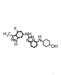 Cc1n[nH]c2cc(Nc3nc4cccc(NC5CCC(O)CC5)n4n3)cc(F)c12